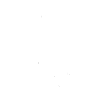 CC(Cc1nc[nH]n1)c1ccc(N=O)cc1